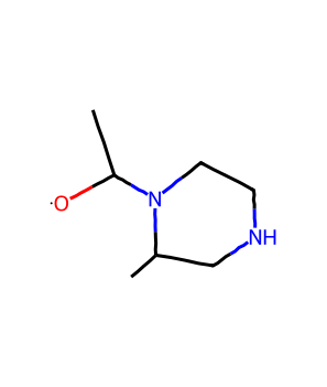 CC([O])N1CCNCC1C